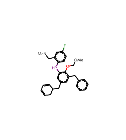 CNCc1cc(F)ccc1Pc1cc(CC2C=CC=CC2)cc(Cc2ccccc2)c1OCOC